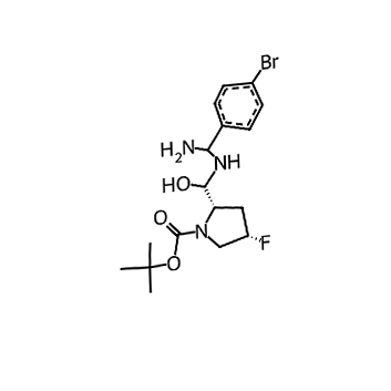 CC(C)(C)OC(=O)N1C[C@@H](F)C[C@H]1C(O)NC(N)c1ccc(Br)cc1